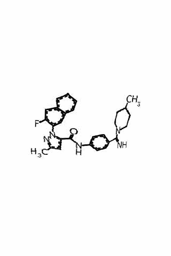 Cc1cc(C(=O)Nc2ccc(C(=N)N3CCC(C)CC3)cc2)n(-c2cc3ccccc3cc2F)n1